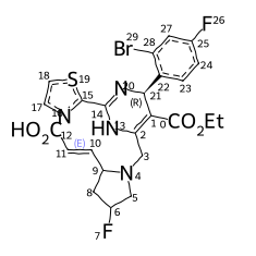 CCOC(=O)C1=C(CN2CC(F)CC2/C=C/C(=O)O)NC(c2nccs2)=N[C@H]1c1ccc(F)cc1Br